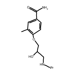 Cc1cc(C(N)=O)ccc1OCC(O)CNC(C)C